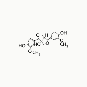 COC1=CC([C@H]2OC[C@]3(O)[C@@H](c4ccc(O)c(OC)c4)OC[C@H]23)=CCC1O